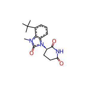 Cn1c(=O)n([C@@H]2CCC(=O)NC2=O)c2cccc(C(C)(C)C)c21